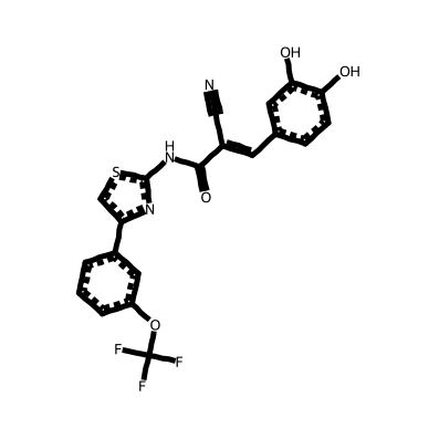 N#C/C(=C\c1ccc(O)c(O)c1)C(=O)Nc1nc(-c2cccc(OC(F)(F)F)c2)cs1